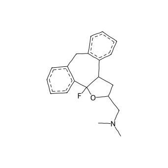 CN(C)CC1CC2c3ccccc3Cc3ccccc3C2(F)O1